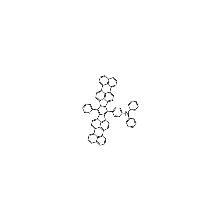 c1ccc(-c2c3c4ccc5c6cccc7cccc(c8ccc(c3c(-c3ccc(N(c9ccccc9)c9ccccc9)cc3)c3c9ccc%10c%11cccc%12cccc(c%13ccc(c23)c9c%13%10)c%12%11)c4c58)c76)cc1